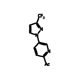 CC(=O)c1ccc(-n2ccc(C(F)(F)F)n2)cn1